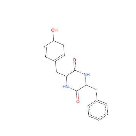 O=C1NC(Cc2ccccc2)C(=O)NC1CC1=CCC(O)C=C1